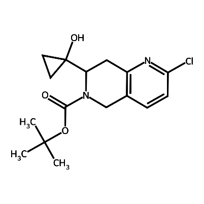 CC(C)(C)OC(=O)N1Cc2ccc(Cl)nc2CC1C1(O)CC1